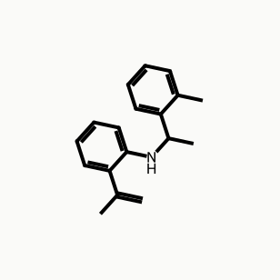 C=C(C)c1ccccc1NC(C)c1ccccc1C